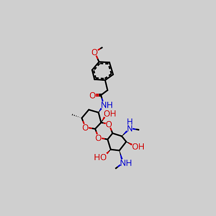 CN[C@@H]1[C@H](O)[C@H](NC)C2O[C@]3(O)C(OC2[C@@H]1O)O[C@H](C)C[C@H]3NC(=O)Cc1ccc(OC)cc1